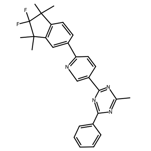 Cc1nc(-c2ccccc2)nc(-c2ccc(-c3ccc4c(c3)C(C)(C)C(F)(F)C4(C)C)nc2)n1